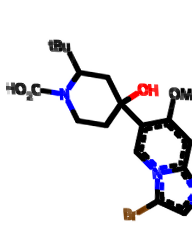 COc1cc2ncc(Br)n2cc1C1(O)CCN(C(=O)O)C(C(C)(C)C)C1